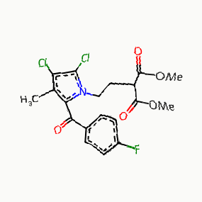 COC(=O)C(CCn1c(Cl)c(Cl)c(C)c1C(=O)c1ccc(F)cc1)C(=O)OC